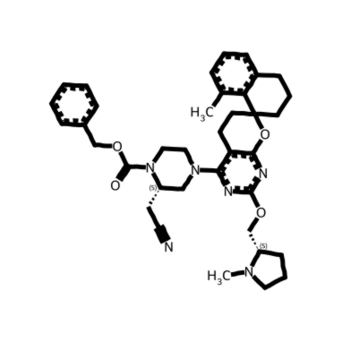 Cc1cccc2c1C1(CCC2)CCc2c(nc(OC[C@@H]3CCCN3C)nc2N2CCN(C(=O)OCc3ccccc3)[C@@H](CC#N)C2)O1